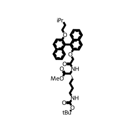 COC(=O)[C@@H](CCCCNC(=O)OC(C)(C)C)NC(=O)COc1ccc2ccccc2c1-c1c(OCCC(C)C)ccc2ccccc12